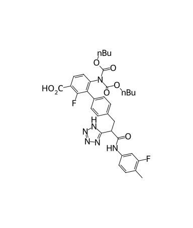 CCCCOC(=O)N(C(=O)OCCCC)c1ccc(C(=O)O)c(F)c1-c1ccc(CC(C(=O)Nc2ccc(C)c(F)c2)c2nnn[nH]2)cc1